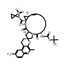 Cc1nc2ccc(C(F)(F)F)cc2c2c1O[C@]1(CC2)C[C@H]2C(=O)N[C@]3(C(=O)N4C5(CC5)S4(=O)=O)C[C@H]3/C=C\CCCCC[C@H](NC(=O)OC(C)(C)C(F)(F)F)C(=O)N2C1